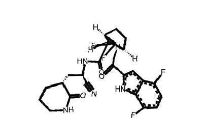 N#C[C@@H](C[C@H]1CCCNC1=O)NC(=O)[C@@H]1[C@H]2CC[C@H](CC2(F)F)N1C(=O)c1cc2c(F)ccc(F)c2[nH]1